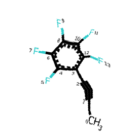 CC#Cc1c(F)c(F)c(F)c(F)c1F